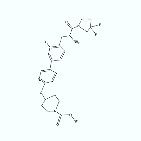 CC(C)OC(=O)N1CCC(Oc2ccc(-c3ccc(CC(N)C(=O)N4CCC(F)(F)C4)c(F)c3)cn2)CC1